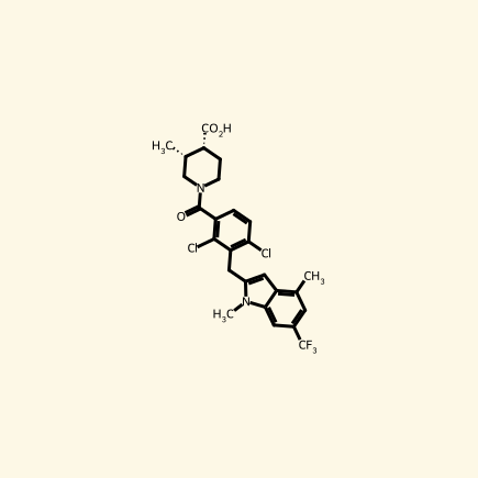 Cc1cc(C(F)(F)F)cc2c1cc(Cc1c(Cl)ccc(C(=O)N3CC[C@@H](C(=O)O)[C@@H](C)C3)c1Cl)n2C